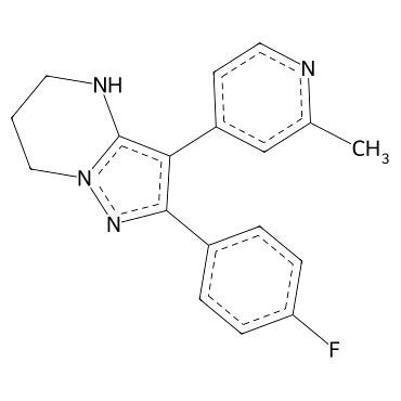 Cc1cc(-c2c(-c3ccc(F)cc3)nn3c2NCCC3)ccn1